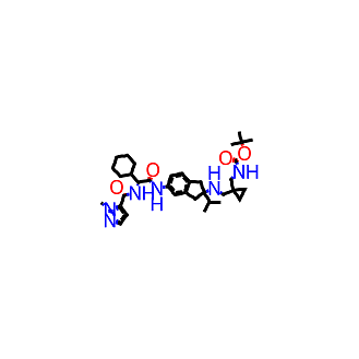 CC(C)C1(NCC2(CNC(=O)OC(C)(C)C)CC2)Cc2ccc(NC(=O)[C@@H](NC(=O)c3ccnn3C)C3CCCCC3)cc2C1